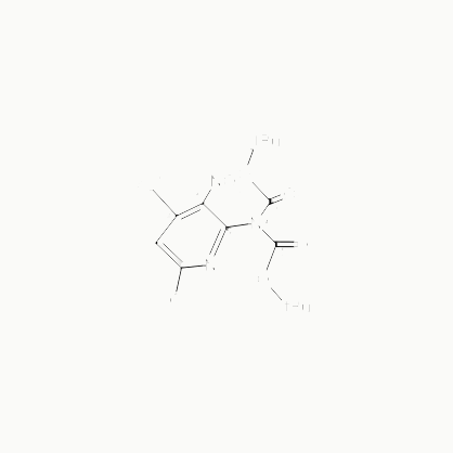 CC(C)(C)OC(=O)N(C(=O)OC(C)(C)C)c1nc(Cl)cc(Cl)c1[N+](=O)[O-]